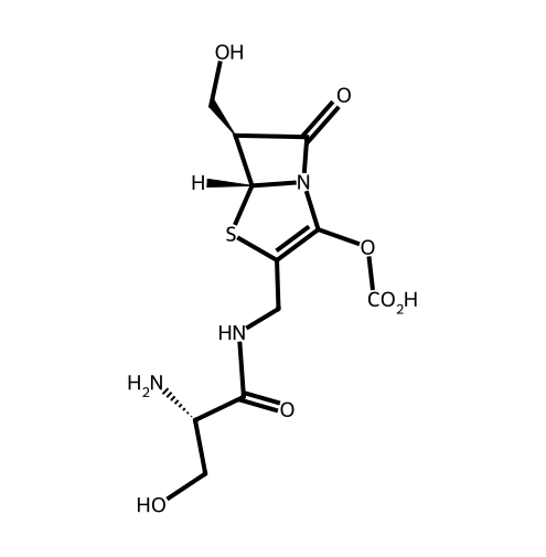 N[C@@H](CO)C(=O)NCC1=C(OC(=O)O)N2C(=O)[C@H](CO)[C@H]2S1